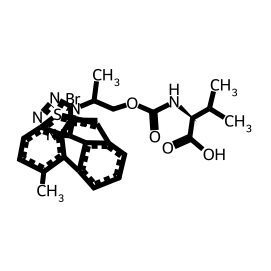 Cc1ccc2sc3c(Br)c2c1-c1cccc-3c1-c1nnnn1C(C)COC(=O)N[C@H](C(=O)O)C(C)C